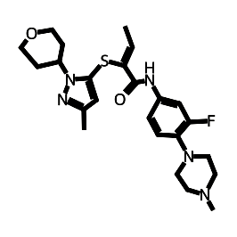 C/C=C(\Sc1cc(C)nn1C1CCOCC1)C(=O)Nc1ccc(N2CCN(C)CC2)c(F)c1